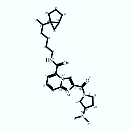 CC(CCCCNC(=O)c1cccc2nc(C(=O)N3CCC(N(C)C)C3)cn12)C12CCCC1C2